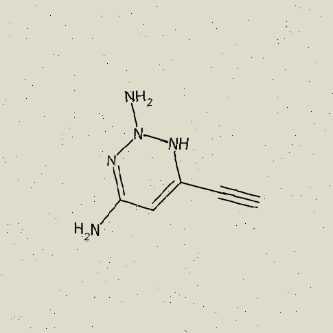 C#CC1=CC(N)=NN(N)N1